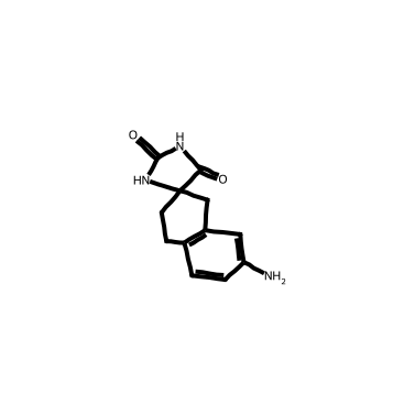 Nc1ccc2c(c1)CC1(CC2)NC(=O)NC1=O